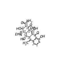 C=C1c2cccc(O)c2C(=O)C2=C(O)C3(O)C(=O)C(C(N)=O)C(O)[C@@H](NCC)C3C(O)C12